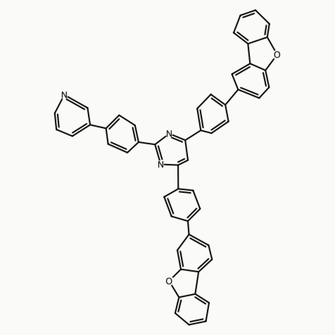 c1cncc(-c2ccc(-c3nc(-c4ccc(-c5ccc6c(c5)oc5ccccc56)cc4)cc(-c4ccc(-c5ccc6oc7ccccc7c6c5)cc4)n3)cc2)c1